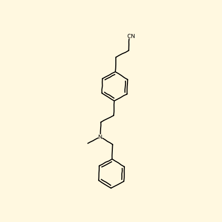 CN(CCc1ccc(CCC#N)cc1)Cc1ccccc1